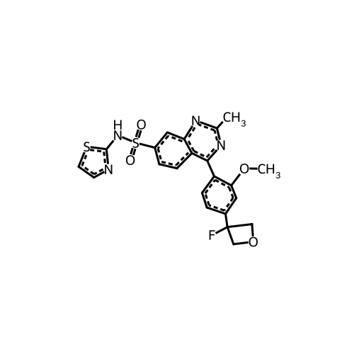 COc1cc(C2(F)COC2)ccc1-c1nc(C)nc2cc(S(=O)(=O)Nc3nccs3)ccc12